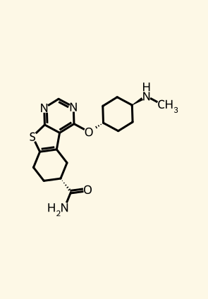 CN[C@H]1CC[C@H](Oc2ncnc3sc4c(c23)C[C@H](C(N)=O)CC4)CC1